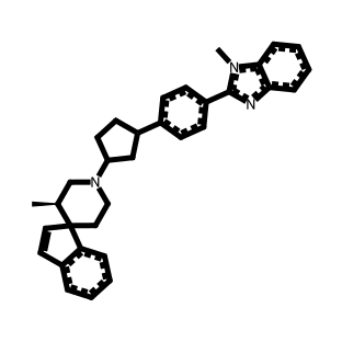 C[C@H]1CN(C2CCC(c3ccc(-c4nc5ccccc5n4C)cc3)C2)CCC12C=Cc1ccccc12